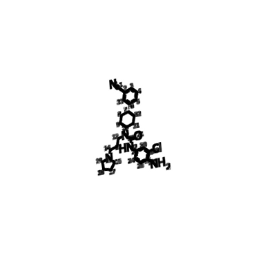 N#Cc1cccc([C@H]2CC[C@@H](N(CCCN3CCCC3)C(=O)Nc3ccc(N)c(Cl)c3)CC2)c1